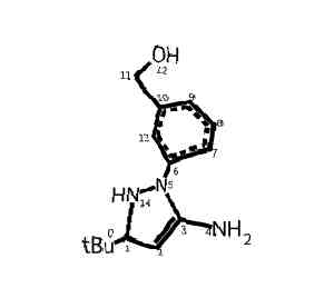 CC(C)(C)C1C=C(N)N(c2cccc(CO)c2)N1